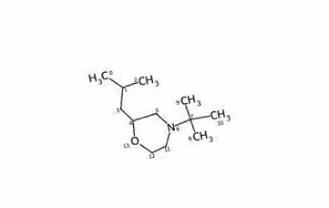 CC(C)CC1CN(C(C)(C)C)CCO1